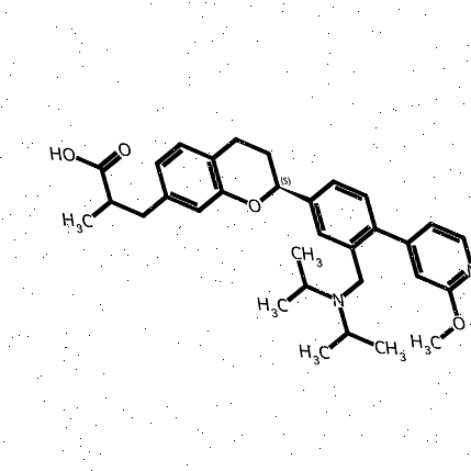 COc1cc(-c2ccc([C@@H]3CCc4ccc(CC(C)C(=O)O)cc4O3)cc2CN(C(C)C)C(C)C)ccn1